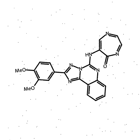 COc1ccc(-c2nc3c4ccccc4nc(Nc4cnccnc4=O)n3n2)cc1OC